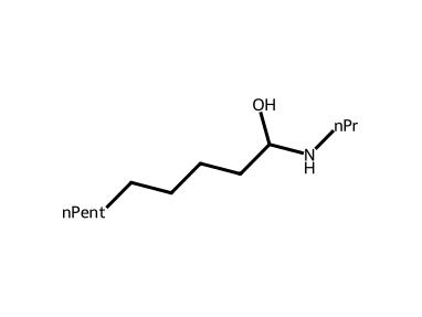 CCCCCCCCCC(O)NCCC